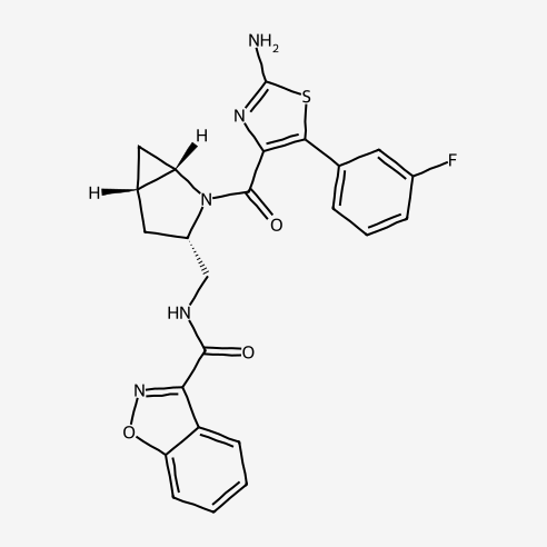 Nc1nc(C(=O)N2[C@H](CNC(=O)c3noc4ccccc34)C[C@@H]3C[C@@H]32)c(-c2cccc(F)c2)s1